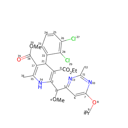 CCOC(=O)C1=C(C(OC)c2cc(OC(C)C)nc(C)n2)NC(C)=C(C(=O)OC)C1c1cccc(Cl)c1Cl